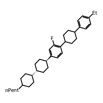 CCCCCC1CCC([C@H]2CC[C@H](c3ccc(C4CCC(c5ccc(CC)cc5)CC4)c(F)c3)CC2)CC1